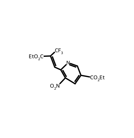 CCOC(=O)C(=Cc1ncc(C(=O)OCC)cc1[N+](=O)[O-])C(F)(F)F